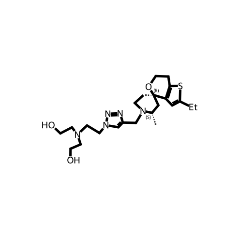 CCc1cc2c(s1)CCO[C@@]21CCN(Cc2cn(CCN(CCO)CCO)nn2)[C@@H](C)C1